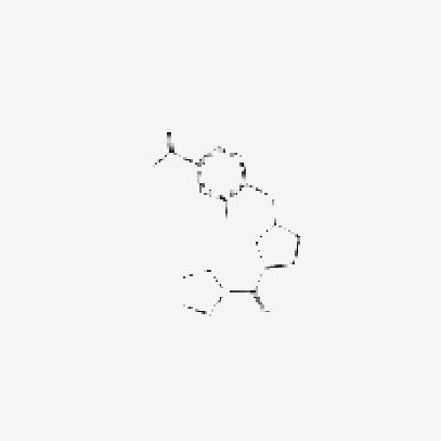 O=C(Cl)c1ccc(OC2CCN(C(=O)N3CCCC3)C2)c(I)c1